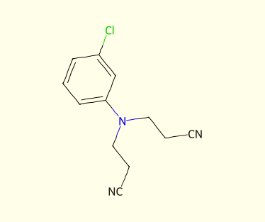 N#CCCN(CCC#N)c1cccc(Cl)c1